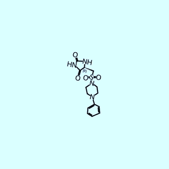 O=C1NC(=O)[C@H](CS(=O)(=O)N2CCN(c3ccccc3)CC2)N1